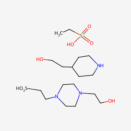 CCS(=O)(=O)O.O=S(=O)(O)CCN1CCN(CCO)CC1.OCCC1CCNCC1